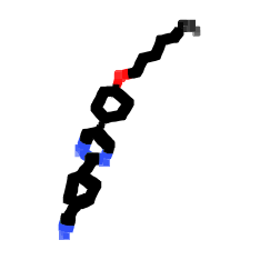 CCCCCCO[C@H]1CC[C@H](c2cnc(-c3ccc(C#N)cc3)nc2)CC1